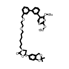 CC(C)(C)Oc1ncc(-c2cccc(-c3cccc(COCCOCCCCCCN4C[C@@H](c5ccc6c(c5)COC(C)(C)O6)OC4=O)c3)c2)c(OC(C)(C)C)n1